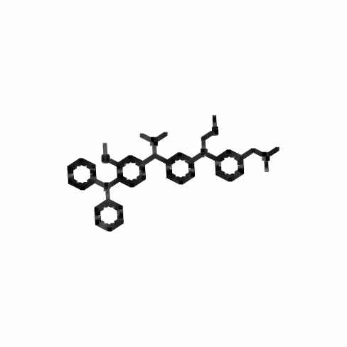 COc1cc(C(c2cccc(P(CSC)c3cccc(CN(C)C)c3)c2)N(C)C)ccc1P(c1ccccc1)c1ccccc1